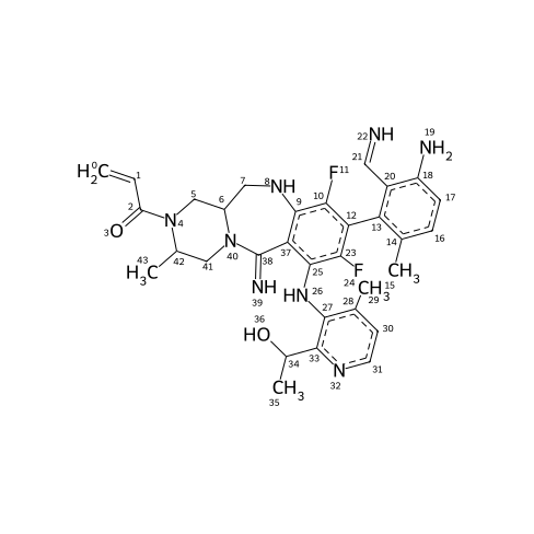 C=CC(=O)N1CC2CNc3c(F)c(-c4c(C)ccc(N)c4C=N)c(F)c(Nc4c(C)ccnc4C(C)O)c3C(=N)N2CC1C